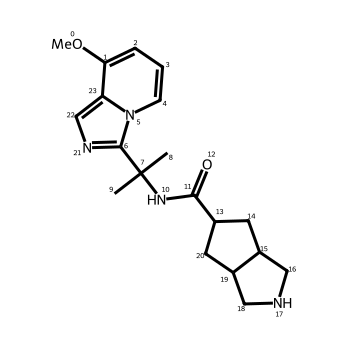 COc1cccn2c(C(C)(C)NC(=O)C3CC4CNCC4C3)ncc12